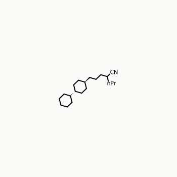 CCCC(C#N)CCC[C@H]1CC[C@H](C2CCCCC2)CC1